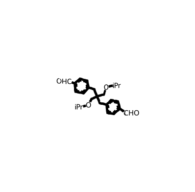 CC(C)OCC(COC(C)C)(Cc1ccc(C=O)cc1)Cc1ccc(C=O)cc1